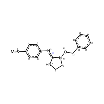 CSc1ccc(/N=C2\NCCN2OCc2ccccc2)cc1